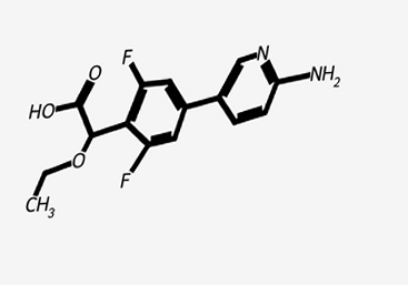 CCOC(C(=O)O)c1c(F)cc(-c2ccc(N)nc2)cc1F